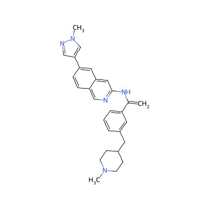 C=C(Nc1cc2cc(-c3cnn(C)c3)ccc2cn1)c1cccc(CC2CCN(C)CC2)c1